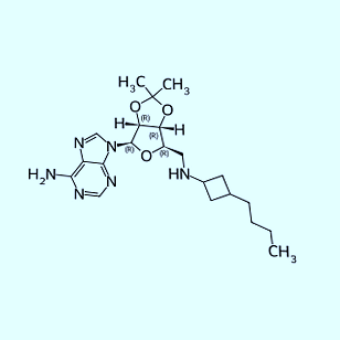 CCCCC1CC(NC[C@H]2O[C@@H](n3cnc4c(N)ncnc43)[C@@H]3OC(C)(C)O[C@@H]32)C1